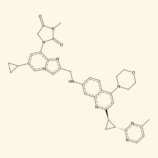 Cc1ccnc([C@@H]2C[C@H]2c2cc(N3CCOCC3)c3ccc(NCc4cn5cc(C6CC6)cc(N6CC(=O)N(C)C6=O)c5n4)cc3n2)n1